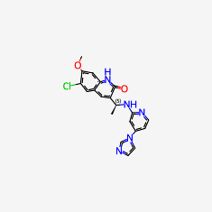 COc1cc2[nH]c(=O)c([C@H](C)Nc3cc(-n4ccnc4)ccn3)cc2cc1Cl